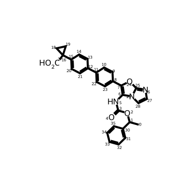 CC(OC(=O)Nc1c(-c2ccc(-c3ccc(C4(C(=O)O)CC4)cc3)cc2)oc2nccn12)c1ccccc1